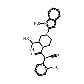 Cc1ccccc1N(C#N)C(=N)N1CCN(c2nc3ccccc3n2C)CC1C(C)C